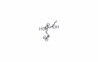 CCCCC[C@@](C)(O)/C=C/[C@H]1C(=O)C[C@H](O)[C@@H]1C/C=C\C[C@@H]1C[C@H]1C(=O)OC